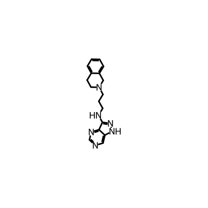 c1ccc2c(c1)CCN(CCCNc1n[nH]c3cncnc13)C2